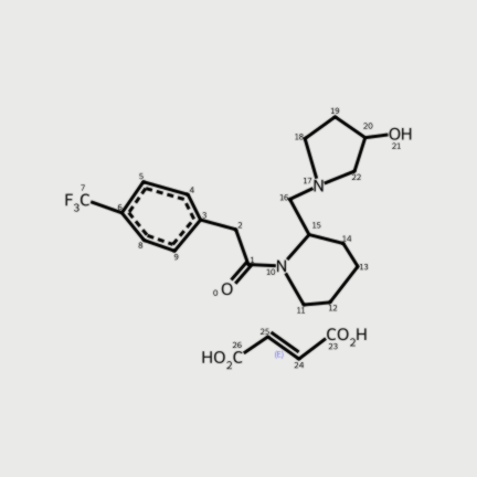 O=C(Cc1ccc(C(F)(F)F)cc1)N1CCCCC1CN1CCC(O)C1.O=C(O)/C=C/C(=O)O